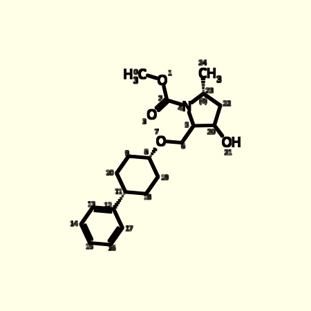 COC(=O)N1C(CO[C@H]2CC[C@@H](c3ccccc3)CC2)C(O)C[C@H]1C